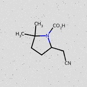 CC1(C)CCC(CC#N)N1C(=O)O